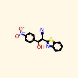 N#CC(=C(O)c1ccc([N+](=O)[O-])cc1)c1nc2ccccc2s1